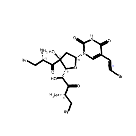 CC(C)C[C@H](N)C(=O)C(O)[C@H]1O[C@@H](n2cc(/C=C/Br)c(=O)[nH]c2=O)C[C@@]1(O)C(=O)[C@@H](N)CC(C)C